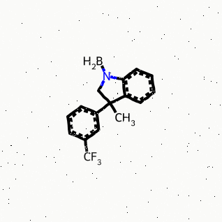 BN1CC(C)(c2cccc(C(F)(F)F)c2)c2ccccc21